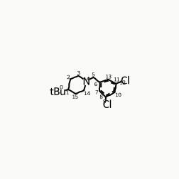 CC(C)(C)C1CCN(Cc2cc(Cl)cc(Cl)c2)CC1